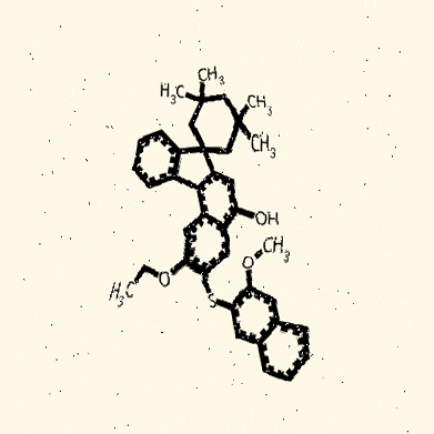 CCOc1cc2c3c(cc(O)c2cc1Sc1cc2ccccc2cc1OC)C1(CC(C)(C)CC(C)(C)C1)c1ccccc1-3